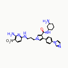 Nc1nc(NCCCn2cc(C(=O)NC3CCCC(N)C3)c(-c3ccc(-n4ccnc4)cc3)c2)ccc1[N+](=O)[O-]